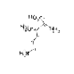 NCCCCC(N)C(=O)O.[Na+].[OH-]